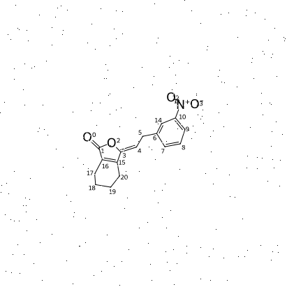 O=C1OC(=CCc2cccc([N+](=O)[O-])c2)C2=C1CCCC2